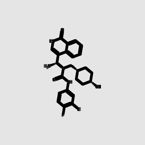 C[C@H](c1c[nH]c(=O)c2ccccc12)N(C[C@H]1CC[C@@H](O)CC1)C(=O)Nc1ccc(F)c(Cl)c1